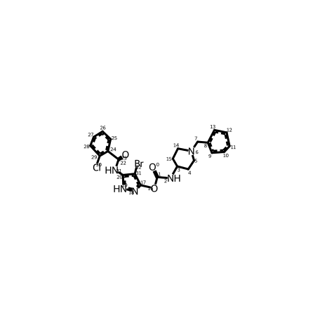 O=C(NC1CCN(Cc2ccccc2)CC1)Oc1n[nH]c(NC(=O)c2ccccc2Cl)c1Br